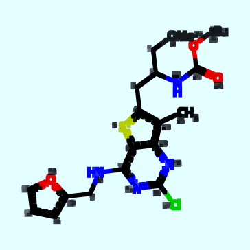 COCC(Cc1sc2c(NCc3ccco3)nc(Cl)nc2c1C)NC(=O)OC(C)(C)C